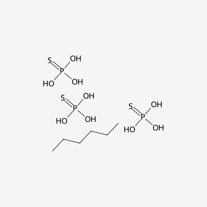 CCCCCC.OP(O)(O)=S.OP(O)(O)=S.OP(O)(O)=S